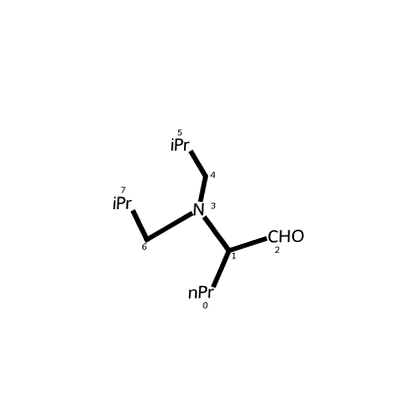 CCCC(C=O)N(CC(C)C)CC(C)C